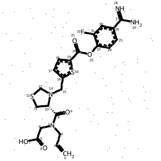 C=CCN(CC(=O)O)C(=O)[C@@H]1CSCN1Cc1ccc(C(=O)Oc2ccc(C(=N)N)cc2F)s1